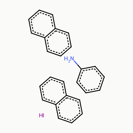 I.Nc1ccccc1.c1ccc2ccccc2c1.c1ccc2ccccc2c1